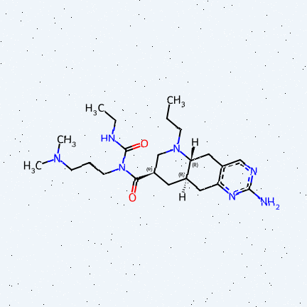 CCCN1C[C@H](C(=O)N(CCCN(C)C)C(=O)NCC)C[C@@H]2Cc3nc(N)ncc3C[C@H]21